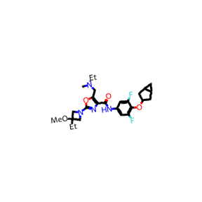 CCN(C)Cc1oc(N2CC(CC)(OC)C2)nc1C(=O)Nc1cc(F)c(OC2CC3CC3C2)c(F)c1